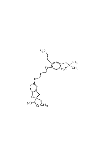 CCCc1cc(CC(C)(C)C)ccc1OCCCOc1ccc2c(c1)CC(CC)(C(=O)O)O2